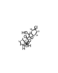 O=S(=O)(C1=CC=CN[N+]1([O-])O)c1oc2ccc(Cl)cc2c1O